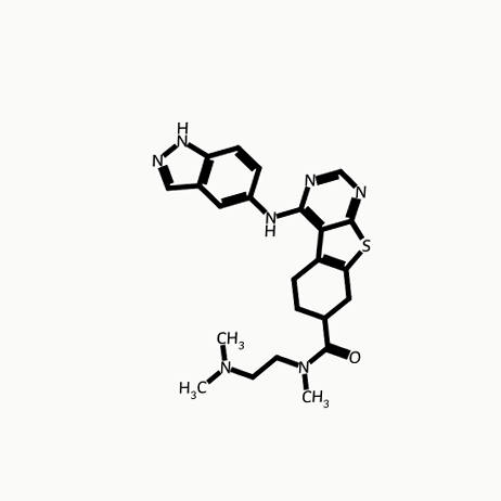 CN(C)CCN(C)C(=O)C1CCc2c(sc3ncnc(Nc4ccc5[nH]ncc5c4)c23)C1